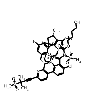 C[C@H]1CC(F)(F)c2c1c(C(F)(F)F)nn2CC(=O)N[C@@H](Cc1cc(F)cc(F)c1)c1nc(C#CC(C)(C)S(C)(=O)=O)ccc1-c1ccc(Cl)c2c(N(C(=O)OCCCCO)S(C)(=O)=O)nn(CC(F)(F)F)c12